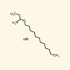 Br.CCCCCCCCCCCCOC(N)CC